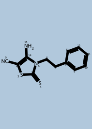 N#Cc1sc(=S)n(CCc2ccccc2)c1N